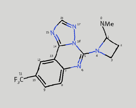 CNC1CCN1c1nc2ccc(C(F)(F)F)cc2c2ncnn12